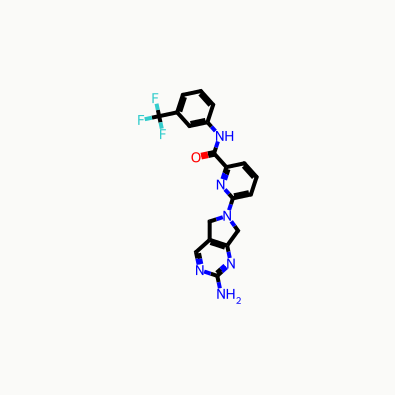 Nc1ncc2c(n1)CN(c1cccc(C(=O)Nc3cccc(C(F)(F)F)c3)n1)C2